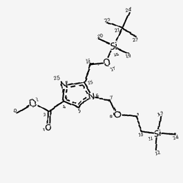 COC(=O)c1cn(COCC[Si](C)(C)C)c(CO[Si](C)(C)C(C)(C)C)n1